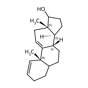 C[C@]12C=CCCC1CC[C@@H]1C2=CC[C@]2(C)C(O)CC[C@@H]12